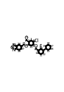 O=Cc1cc(Cl)c(OCc2cccc(-c3ccccc3)c2F)cc1OCc1ccc2nonc2c1